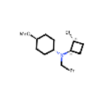 CC[C@@H]1CC[C@H]1N(CC(C)C)[C@H]1CC[C@H](OC)CC1